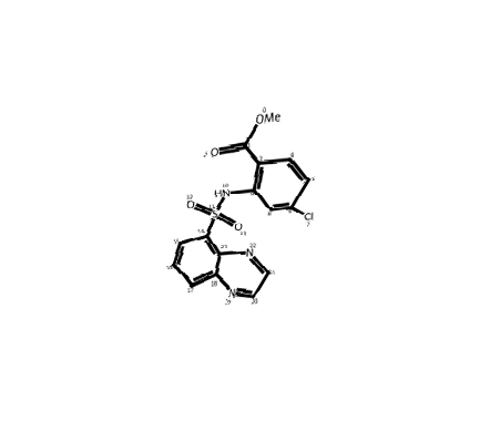 COC(=O)c1ccc(Cl)cc1NS(=O)(=O)c1cccc2nccnc12